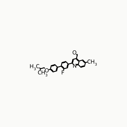 Cc1ccc2nc(-c3ccc(-c4ccc(OCC(C)C)cc4)c(F)c3)cc(C=O)c2c1